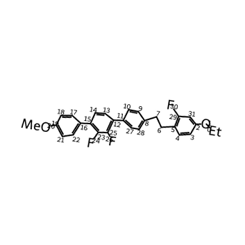 CCOc1ccc(CCc2ccc(-c3ccc(-c4ccc(OC)cc4)c(F)c3F)cc2)c(F)c1